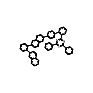 c1ccc(-c2nc(-c3ccccc3)nc(-c3ccccc3-c3ccc(-c4ccc5cc(-c6ccccc6-c6ccc7ccccc7c6)ccc5c4)cc3)n2)cc1